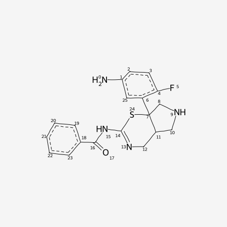 Nc1ccc(F)c(C23CNCC2CN=C(NC(=O)c2ccccc2)S3)c1